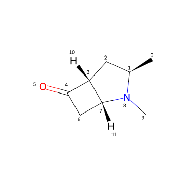 C[C@@H]1C[C@H]2C(=O)C[C@H]2N1C